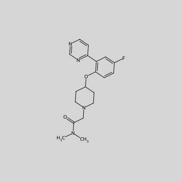 CN(C)C(=O)CN1CCC(Oc2ccc(F)cc2-c2ccncn2)CC1